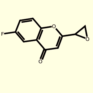 O=c1cc(C2CO2)oc2ccc(F)cc12